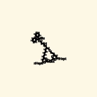 CCCCCCCCC(=O)OC(CCCCCC(CCCCCC(CSCCCCCCC)OC(=O)CCCCCCCC)NCCCCO[Si](c1ccccc1)(c1ccccc1)C(C)(C)C)CSCCCCCCC